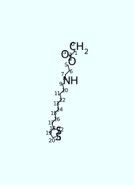 C=CC(=O)OCCCNCCCCCCCCCC1CCSS1